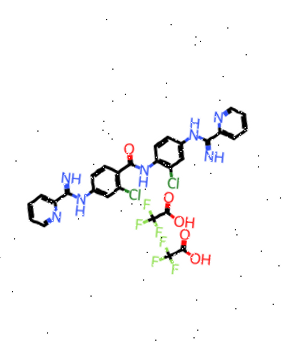 N=C(Nc1ccc(NC(=O)c2ccc(NC(=N)c3ccccn3)cc2Cl)c(Cl)c1)c1ccccn1.O=C(O)C(F)(F)F.O=C(O)C(F)(F)F